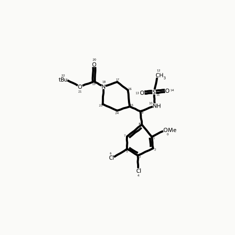 COc1cc(Cl)c(Cl)cc1C(NS(C)(=O)=O)C1CCN(C(=O)OC(C)(C)C)CC1